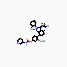 COc1cc(OC(=O)Nc2cccnc2)ccc1-c1ccc2c3c1CN(c1ccccc1OC)C3=CC(C)(C)N2